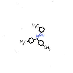 Cc1ccc(C(=NNc2cccc(C)c2)c2ccc(C)cc2)cc1